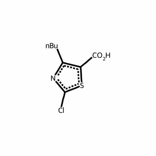 CCCCc1nc(Cl)sc1C(=O)O